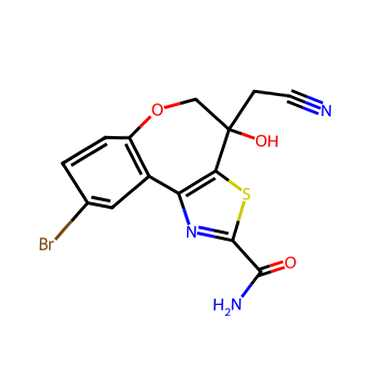 N#CCC1(O)COc2ccc(Br)cc2-c2nc(C(N)=O)sc21